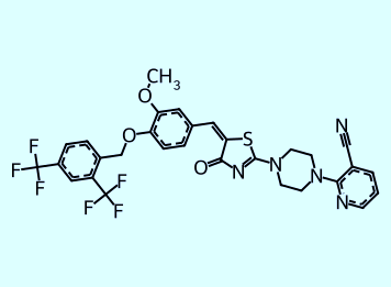 COc1cc(C=C2SC(N3CCN(c4ncccc4C#N)CC3)=NC2=O)ccc1OCc1ccc(C(F)(F)F)cc1C(F)(F)F